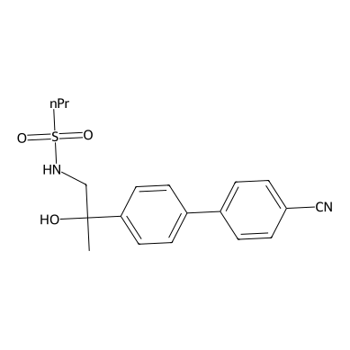 CCCS(=O)(=O)NCC(C)(O)c1ccc(-c2ccc(C#N)cc2)cc1